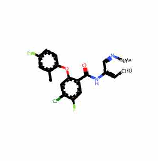 CN/N=C\C(=C/C=O)NC(=O)c1cc(F)c(Cl)cc1Oc1ccc(F)cc1C